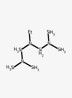 CCN([SiH2]N([SiH3])[SiH3])[SiH2]N([SiH3])[SiH3]